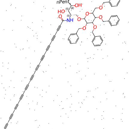 CC#CC#CC#CC#CC#CC#CC#CC#CC#CC#CC#CC(=O)N[C@@H](COC1OC(COCc2ccccc2)C(OCc2ccccc2)C(OCc2ccccc2)C1OCc1ccccc1)[C@H](O)[C@H](O)CCCCC